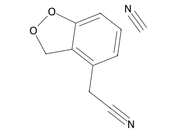 C#N.N#CCc1cccc2c1COO2